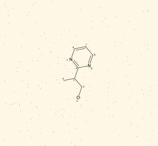 CC(C[O])c1ncccn1